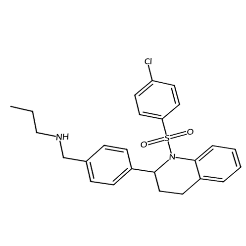 CCCNCc1ccc(C2CCc3ccccc3N2S(=O)(=O)c2ccc(Cl)cc2)cc1